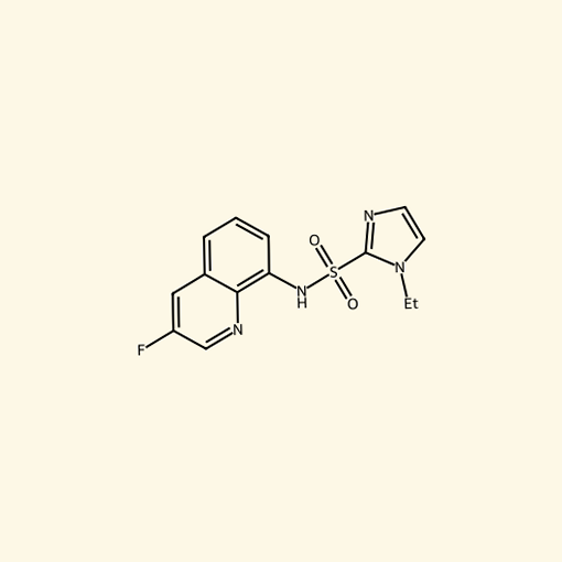 CCn1ccnc1S(=O)(=O)Nc1cccc2cc(F)cnc12